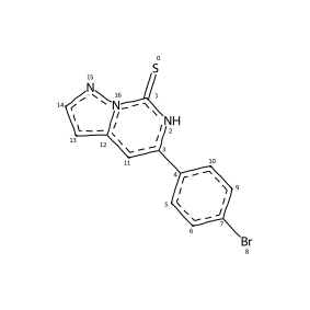 S=c1[nH]c(-c2ccc(Br)cc2)cc2ccnn12